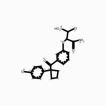 CCC(C(Oc1cccc(C(=O)C2(c3ccc(Cl)cc3)CCC2)c1)C(N)=O)S(=O)(=O)O